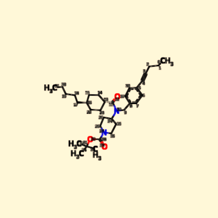 CCCC#Cc1ccc(CN(C(=O)[C@H]2CC[C@H](CCCCC)CC2)C2CCN(C(=O)OC(C)(C)C)CC2)cc1